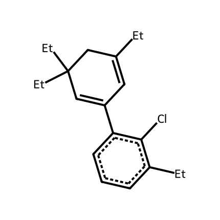 CCC1=CC(c2cccc(CC)c2Cl)=CC(CC)(CC)C1